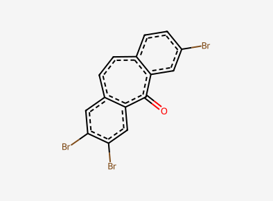 O=c1c2cc(Br)ccc2ccc2cc(Br)c(Br)cc12